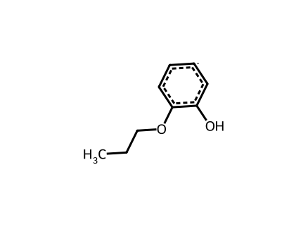 CCCOc1cc[c]cc1O